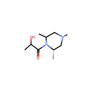 CC(O)C(=O)N1C(C)CN(C)C[C@@H]1C